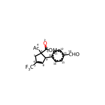 COC(=O)C1(C(C)=O)CC(C(F)(F)F)=CC1c1ccc(C=O)cc1